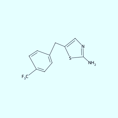 Nc1ncc(Cc2ccc(C(F)(F)F)cc2)s1